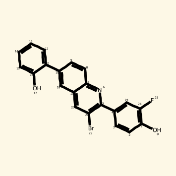 Oc1ccc(-c2nc3ccc(-c4ccccc4O)cc3cc2Br)cc1F